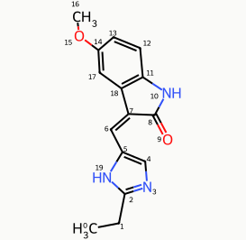 CCc1ncc(C=C2C(=O)Nc3ccc(OC)cc32)[nH]1